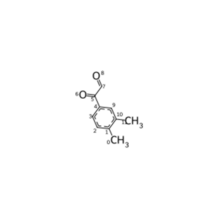 Cc1ccc(C(=O)C=O)cc1C